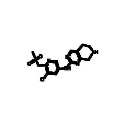 CS(=O)(=O)Cc1ncc(Nc2ncc3c(n2)CNCC3)cc1Cl